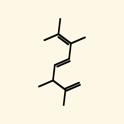 C=C(C)C(C)/C=C/C(C)=C(C)C